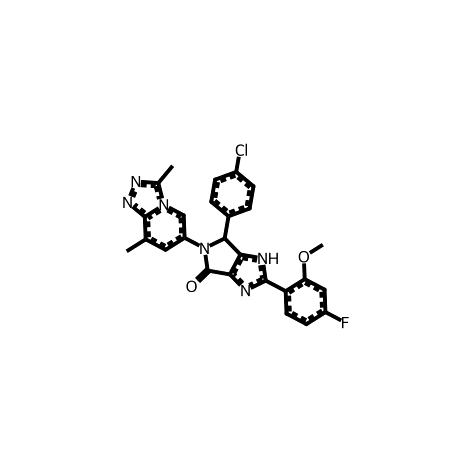 COc1cc(F)ccc1-c1nc2c([nH]1)C(c1ccc(Cl)cc1)N(c1cc(C)c3nnc(C)n3c1)C2=O